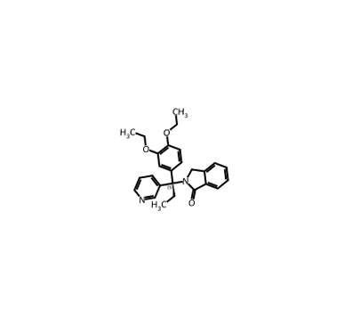 CCOc1ccc([C@@](CC)(c2cccnc2)N2Cc3ccccc3C2=O)cc1OCC